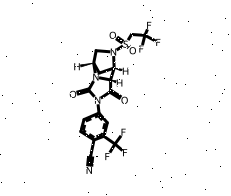 N#Cc1ccc(N2C(=O)[C@H]3[C@@H]4C[C@@H](CN4S(=O)(=O)CC(F)(F)F)N3C2=O)cc1C(F)(F)F